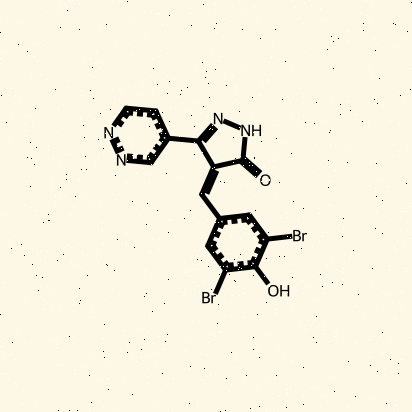 O=C1NN=C(c2ccnnc2)C1=Cc1cc(Br)c(O)c(Br)c1